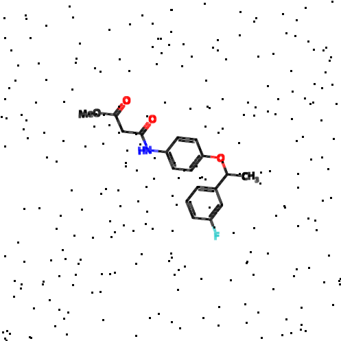 COC(=O)CC(=O)Nc1ccc(OC(C)c2cccc(F)c2)cc1